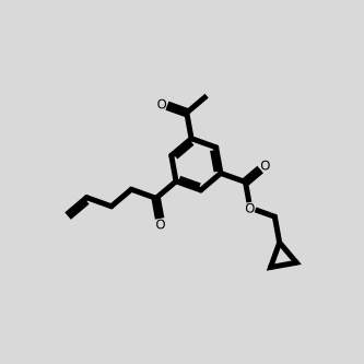 C=CCCC(=O)c1cc(C(C)=O)cc(C(=O)OCC2CC2)c1